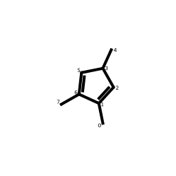 CC1=CC(C)C=C1C